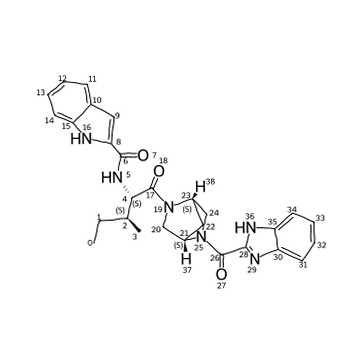 CC[C@H](C)[C@H](NC(=O)c1cc2ccccc2[nH]1)C(=O)N1C[C@@H]2C[C@H]1CN2C(=O)c1nc2ccccc2[nH]1